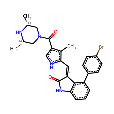 Cc1c(C(=O)N2C[C@@H](C)N[C@@H](C)C2)c[nH]c1/C=C1\C(=O)Nc2cccc(-c3ccc(Br)cc3)c21